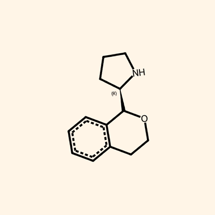 c1ccc2c(c1)CCOC2[C@H]1CCCN1